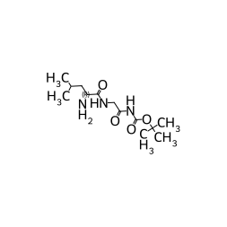 CC(C)C[C@@H](N)C(=O)NCC(=O)NC(=O)OC(C)(C)C